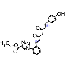 CCOC(=O)c1cn(-c2ccccc2/C=C/C(=O)CC(=O)/C=C/c2ccc(O)cc2)nn1